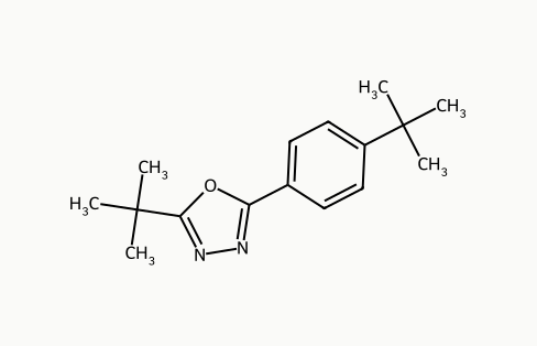 CC(C)(C)c1ccc(-c2nnc(C(C)(C)C)o2)cc1